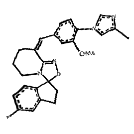 COc1cc(/C=C2/CCCN3C2=NOC32CCc3cc(F)ccc32)ccc1-n1cnc(C)c1